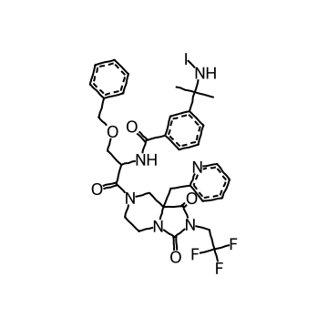 CC(C)(NI)c1cccc(C(=O)NC(COCc2ccccc2)C(=O)N2CCN3C(=O)N(CC(F)(F)F)C(=O)C3(Cc3ccccn3)C2)c1